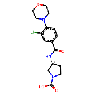 O=C(N[C@@H]1CCN(C(=O)O)C1)c1ccc(N2CCOCC2)c(Cl)c1